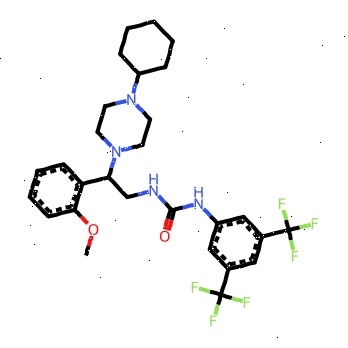 COc1ccccc1C(CNC(=O)Nc1cc(C(F)(F)F)cc(C(F)(F)F)c1)N1CCN(C2CCCCC2)CC1